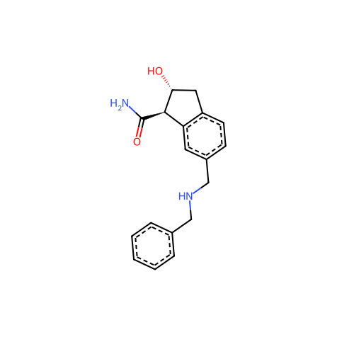 NC(=O)[C@@H]1c2cc(CNCc3ccccc3)ccc2C[C@H]1O